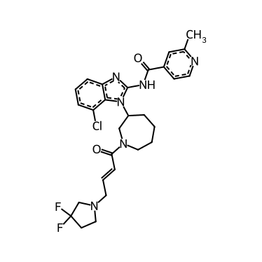 Cc1cc(C(=O)Nc2nc3cccc(Cl)c3n2C2CCCCN(C(=O)C=CCN3CCC(F)(F)C3)C2)ccn1